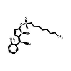 CCCCCCCCS(=O)(=O)OC1C=CC(=C(C#N)c2ccccc2C)S1=N